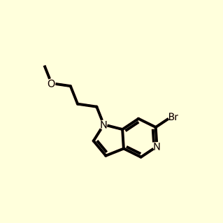 COCCCn1ccc2cnc(Br)cc21